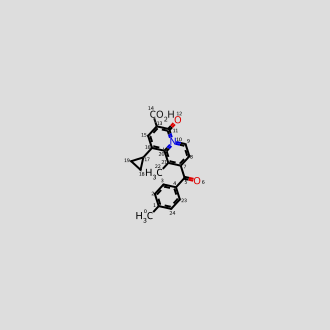 Cc1ccc(C(=O)c2ccn3c(=O)c(C(=O)O)cc(C4CC4)c3c2C)cc1